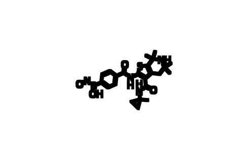 CC1(C)Cc2c(sc(NC(=O)c3ccc(B(O)N=O)cc3)c2C(=O)NC2(C)CC2)C(C)(C)N1